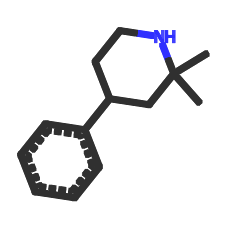 CC1(C)CC(c2ccccc2)CCN1